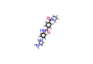 CN(C)C1CCN(c2ccc(NC(=O)c3ccc(C(=O)N4CCCC4)cc3)cc2)C1